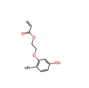 C=CC(=O)OCCOc1cc(O)ccc1CCC